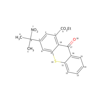 CCOC(=O)c1cc(C(C)(C)[N+](=O)[O-])cc2sc3ccccc3c(=O)c12